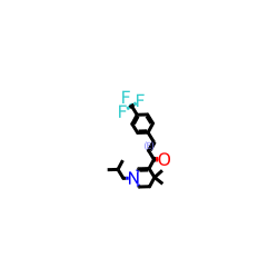 CC(C)CN1C=C(C(=O)/C=C/c2ccc(C(F)(F)F)cc2)C(C)(C)CC1